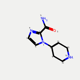 NC(=O)c1n[c]cn1C1CCNCC1